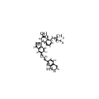 CN(C)Cc1cccc(C(CC(=O)O)n2ncc3cc(OCCc4ccc5c(n4)NCCC5)ccc32)c1